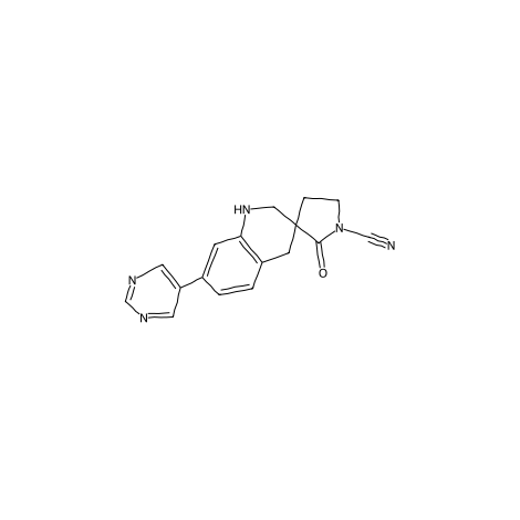 N#CN1CCC2(CNc3cc(-c4cncnc4)ccc3C2)C1=O